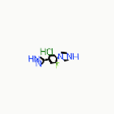 Cl.Fc1cc(-c2cn[nH]c2)ccc1N1CCNCC1